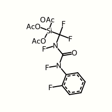 CC(=O)O[Si](OC(C)=O)(OC(C)=O)C(F)(F)N(F)C(=O)N(F)c1ccccc1F